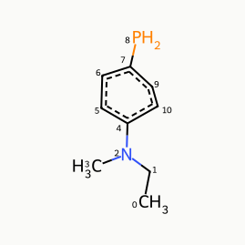 CCN(C)c1ccc(P)cc1